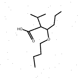 CCCCOC(CCC)C(C(=O)O)C(C)C